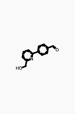 O=Cc1ccc(-c2cccc(CO)n2)cc1